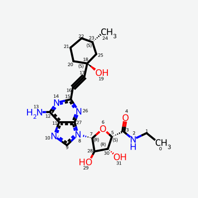 CCNC(=O)[C@H]1O[C@@H](n2cnc3c(N)nc(C#C[C@]4(O)CCC[C@H](C)C4)nc32)C(O)[C@H]1O